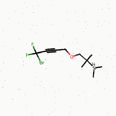 C[SiH](C)C(C)(C)COCC#CC(F)(F)Br